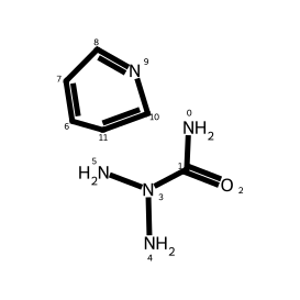 NC(=O)N(N)N.c1ccncc1